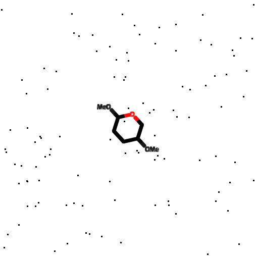 COC1CCC(OC)OC1